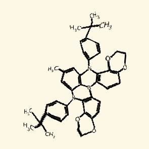 Cc1cc2c3c(c1)N(c1ccc(C(C)(C)C)cc1)c1c(ccc4c1OCCO4)B3c1ccc3c(c1N2c1ccc(C(C)(C)C)cc1)OCCO3